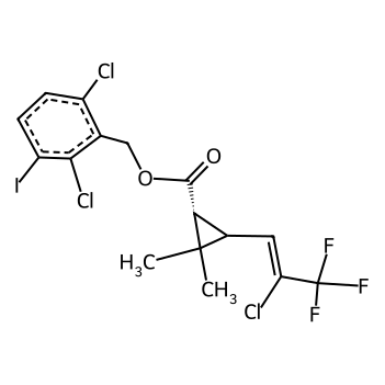 CC1(C)C(/C=C(\Cl)C(F)(F)F)[C@H]1C(=O)OCc1c(Cl)ccc(I)c1Cl